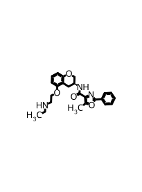 CCNCCOc1cccc2c1C[C@H](NC(=O)c1nc(-c3ccccc3)oc1C)CO2